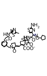 Cc1nnc(NC(=O)C[n+]2cccc(CN3CCC(=CC4=C(C(=O)[O-])N5C(=O)[C@@H](NC(=O)/C(=N\OC6CCCC6)c6csc(N)n6)[C@H]5SC4)C3=O)c2)s1